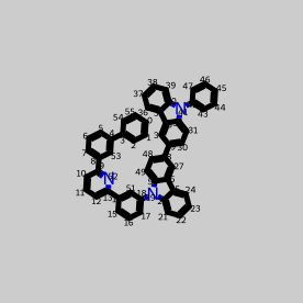 c1ccc(-c2cccc(-c3cccc(-c4cccc(-n5c6ccccc6c6cc(-c7ccc8c(c7)c7ccccc7n8-c7ccccc7)ccc65)c4)n3)c2)cc1